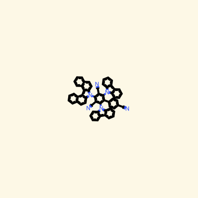 N#Cc1ccc(-c2c(-n3c4ccccc4c4ccccc43)c(C#N)c(-n3c4ccc5ccccc5c4c4c5ccccc5ccc43)c(C#N)c2-n2c3ccccc3c3ccccc32)cc1